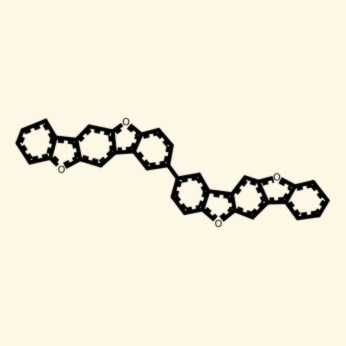 c1ccc2c(c1)oc1cc3c(cc12)oc1ccc(-c2ccc4oc5cc6c(cc5c4c2)oc2ccccc26)cc13